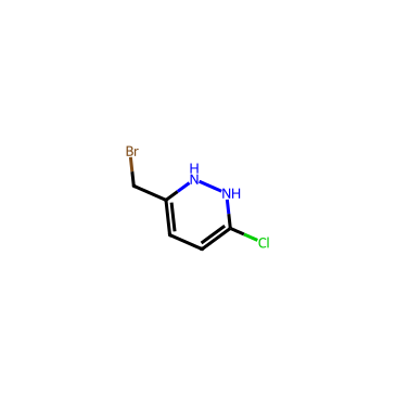 ClC1=CC=C(CBr)NN1